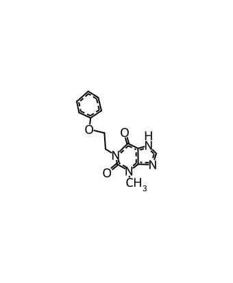 Cn1c(=O)n(CCOc2ccccc2)c(=O)c2[nH]cnc21